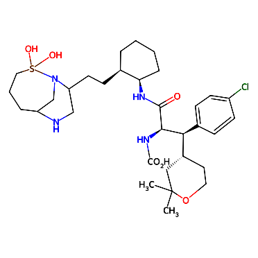 CC1(C)C[C@H]([C@H](c2ccc(Cl)cc2)[C@@H](NC(=O)O)C(=O)N[C@@H]2CCCC[C@@H]2CCC2CNC3CCCS(O)(O)N2C3)CCO1